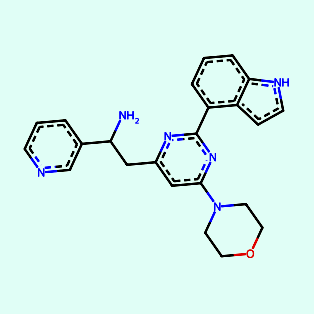 NC(Cc1cc(N2CCOCC2)nc(-c2cccc3[nH]ccc23)n1)c1cccnc1